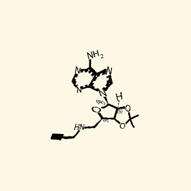 C#CCNC[C@H]1O[C@@H](n2cnc3c(N)ncnc32)[C@H]2OC(C)(C)OC12